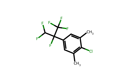 Cc1cc(C(F)(C(F)F)C(F)(F)F)cc(C)c1Cl